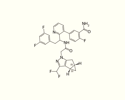 NC(=O)c1cc(-c2cccnc2C(Cc2cc(F)cc(F)c2)NC(=O)Cn2nc(C(F)F)c3c2C[C@@H]2C[C@H]32)ccc1F